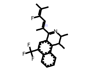 CC(C)=C(F)/C=C(\C)C1=NC(C)C(C)c2c1cc(C(F)(F)F)c1ccccc21